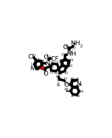 COC(=O)C1(N(C(=O)C(F)(F)F)c2cccc(Cl)c2)CCC2(CC1)c1cc(CNC(=O)CN)ccc1C[C@@H]2C[C@@H](C)COc1ccnc2c1[C@H](C)CCC2